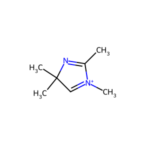 CC1=NC(C)(C)C=[N+]1C